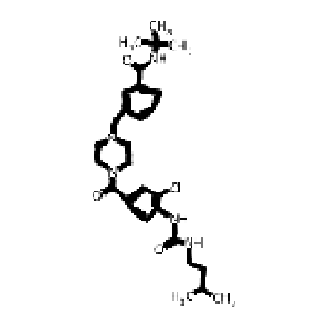 CC(C)CCNC(=O)Nc1ccc(C(=O)N2CCN(Cc3cccc(C(=O)NC(C)(C)C)c3)CC2)cc1Cl